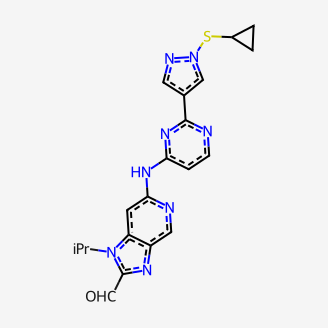 CC(C)n1c(C=O)nc2cnc(Nc3ccnc(-c4cnn(SC5CC5)c4)n3)cc21